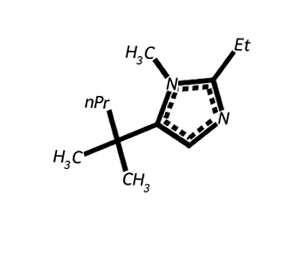 CCCC(C)(C)c1cnc(CC)n1C